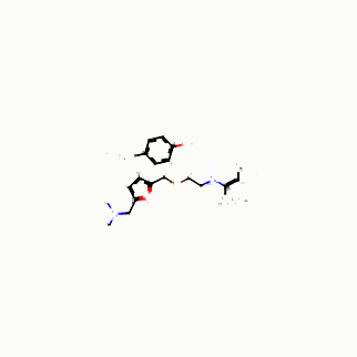 CC(=O)Nc1ccc(O)cc1.CN/C(=C/[N+](=O)[O-])NCCSCc1ccc(CN(C)C)o1